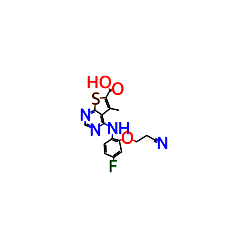 Cc1c(C(=O)O)sc2ncnc(Nc3ccc(F)cc3OCCC#N)c12